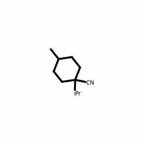 CC1CCC(C#N)(C(C)C)CC1